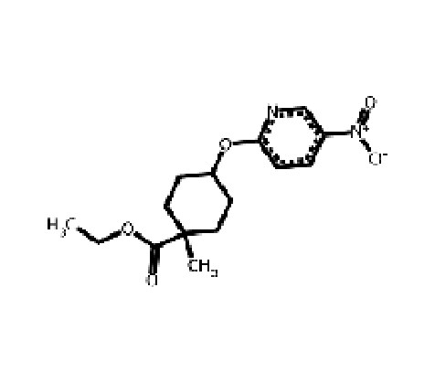 CCOC(=O)C1(C)CCC(Oc2ccc([N+](=O)[O-])cn2)CC1